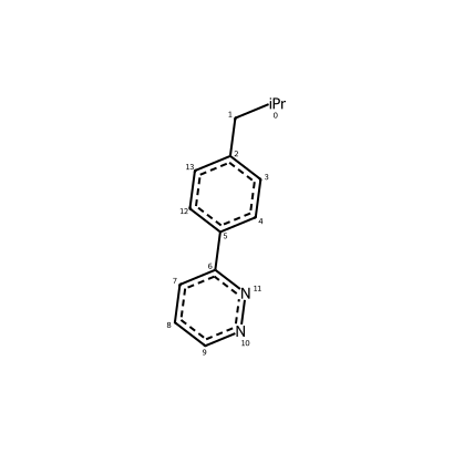 CC(C)Cc1ccc(-c2cccnn2)cc1